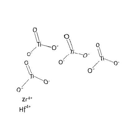 [Hf+4].[O]=[Ti]([O-])[O-].[O]=[Ti]([O-])[O-].[O]=[Ti]([O-])[O-].[O]=[Ti]([O-])[O-].[Zr+4]